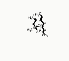 C=CC[Si](C)(C)C.CC=CCCCC